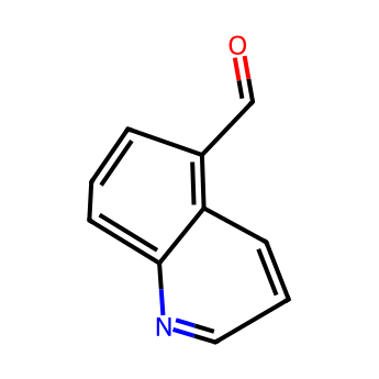 O=Cc1cccc2ncccc12